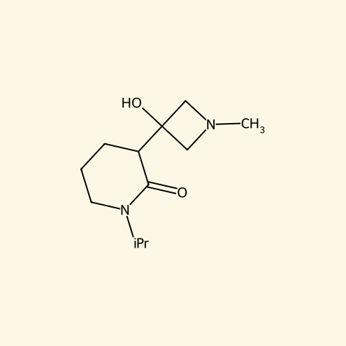 CC(C)N1CCCC(C2(O)CN(C)C2)C1=O